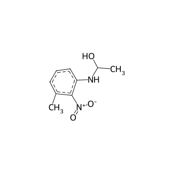 Cc1cccc(NC(C)O)c1[N+](=O)[O-]